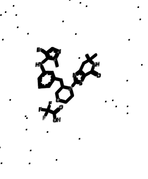 Cn1ncc(Br)c1Nc1cccc(CC2COCCN2c2nc3c(s2)C(=O)NC(C)(C)C3)c1.O=C(O)C(F)(F)F